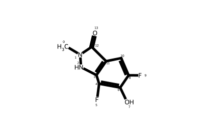 Cn1[nH]c2c(F)c(O)c(F)cc2c1=O